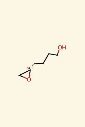 OCCCC[C@H]1CO1